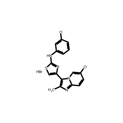 Br.Cc1nc2ccc(Cl)cn2c1-c1csc(Nc2cccc(Cl)c2)n1